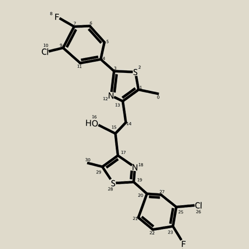 Cc1sc(-c2ccc(F)c(Cl)c2)nc1CC(O)c1nc(-c2ccc(F)c(Cl)c2)sc1C